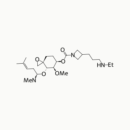 CCNCCCC1CN(C(=O)O[C@@H]2CC[C@]3(CO3)[C@@H](O[C@H](CC=C(C)C)NC)[C@@H]2OC)C1